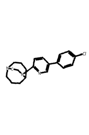 Clc1ccc(-c2ccc(N3CCN4CCCC3CCC4)nc2)cc1